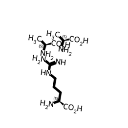 C[C@H](N)C(=O)O.C[C@H](N)C(=O)O.N=C(N)NCCC[C@H](N)C(=O)O